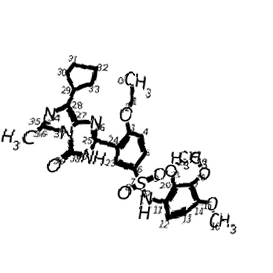 CCOc1ccc(S(=O)(=O)Nc2ccc(OC)c(OC)c2OC)cc1-c1nc2c(C3CCCC3)nc(C)n2c(=O)[nH]1